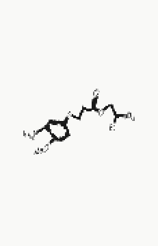 CCCCC(CC)COC(=O)CCSc1ccc(OC)c(N)c1